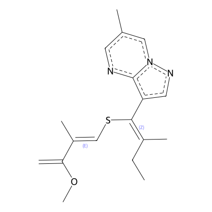 C=C(OC)/C(C)=C/S/C(=C(/C)CC)c1cnn2cc(C)cnc12